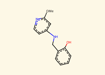 COc1cc(NCc2ccccc2O)ccn1